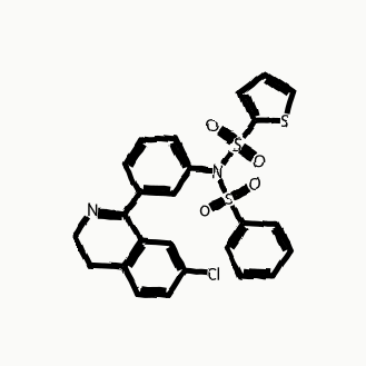 O=S(=O)(c1ccccc1)N(c1cccc(C2=NCCc3ccc(Cl)cc32)c1)S(=O)(=O)c1cccs1